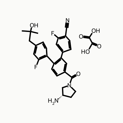 CC(C)(O)Cc1ccc(-c2ccc(C(=O)N3CC[C@H](N)C3)cc2-c2ccc(C#N)c(F)c2)c(F)c1.O=C(O)C(=O)O